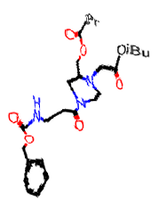 CC(C)COC(=O)CN1CCN(C(=O)CCNC(=O)OCc2ccccc2)CC1COC(=O)C(C)C